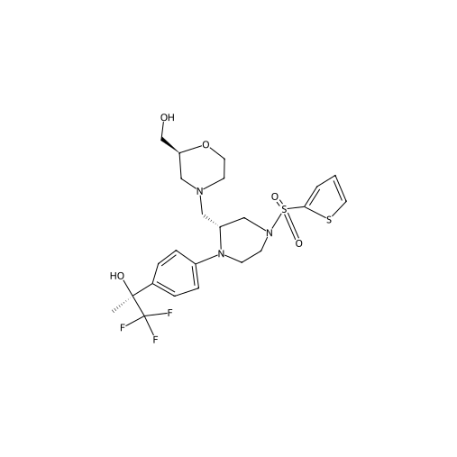 C[C@](O)(c1ccc(N2CCN(S(=O)(=O)c3cccs3)C[C@H]2CN2CCO[C@H](CO)C2)cc1)C(F)(F)F